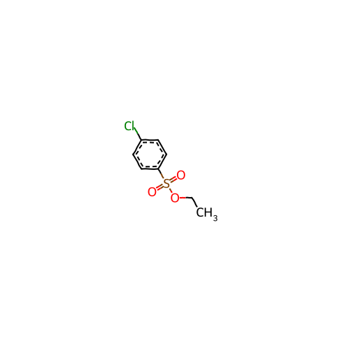 CCOS(=O)(=O)c1ccc(Cl)cc1